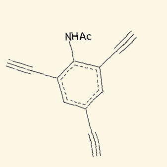 C#Cc1cc(C#C)c(NC(C)=O)c(C#C)c1